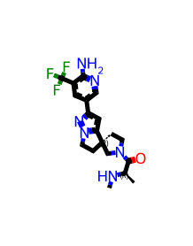 CN[C@H](C)C(=O)N1CC[C@@]2(CCn3nc(-c4cnc(N)c(C(F)(F)F)c4)cc32)C1